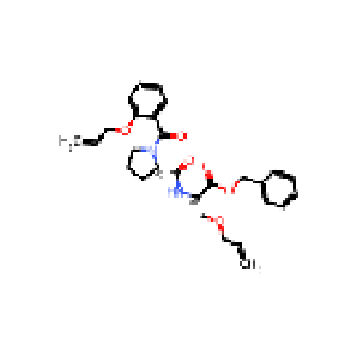 C=CCOC[C@H](NC(=O)[C@@H]1CCCN1C(=O)c1ccccc1OCC=C)C(=O)OCc1ccccc1